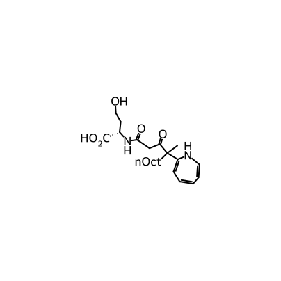 CCCCCCCCC(C)(C(=O)CC(=O)N[C@@H](CCO)C(=O)O)C1=CC=CC=CN1